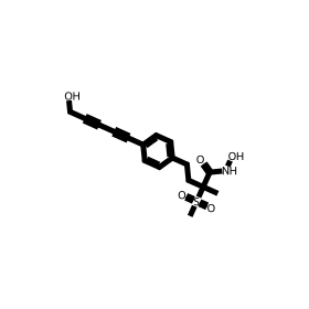 CC(CCc1ccc(C#CC#CCO)cc1)(C(=O)NO)S(C)(=O)=O